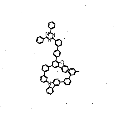 Cc1cccc(-c2cccc(-c3ccc4c(c3)c3ccccc3n4-c3cccc(-c4cccc(-c5cc(-c6ccc(-c7cccc(-c8nc(-c9ccccc9)nc(-c9ccccc9)n8)c7)cc6)c6oc7ccccc7c6c5)c4)c3)c2)c1